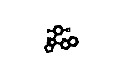 Fc1ccc(Cl)cc1-c1nn2c(c1-c1ccc3ccccc3n1)CCC2